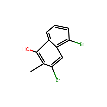 Cc1c(Br)cc2c(Br)cccc2c1O